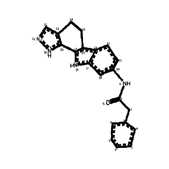 O=C(Cc1ccccc1)Nc1ccc2c3c([nH]c2c1)-c1[nH]ncc1CC3